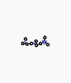 C1=CC(c2nc(-c3ccccc3)nc(-c3ccc(-c4cccc5c4c4ccccc4n5-c4ccc(-c5ccc6c7ccccc7n(-c7ccccc7)c6c5)cc4)cc3)n2)=CCC1